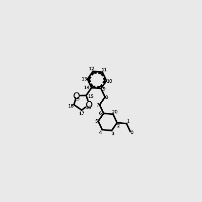 CCC1CCCC(CCc2ccccc2C2OCCO2)C1